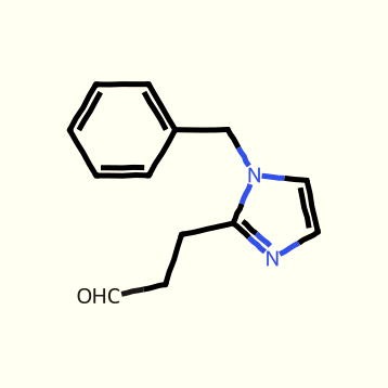 O=CCCc1nccn1Cc1ccccc1